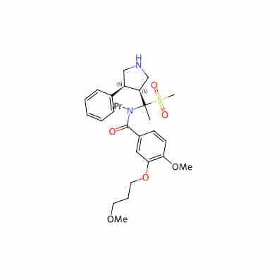 COCCCOc1cc(C(=O)N(C(C)C)C(C)([C@@H]2CNC[C@@H]2c2ccccc2)S(C)(=O)=O)ccc1OC